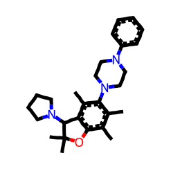 Cc1c(C)c(N2CCN(c3ccccc3)CC2)c(C)c2c1OC(C)(C)C2N1CCCC1